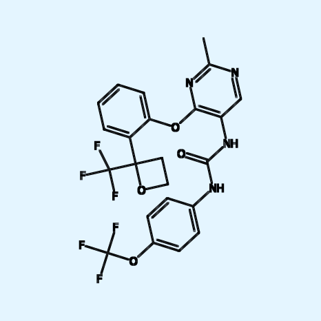 Cc1ncc(NC(=O)Nc2ccc(OC(F)(F)F)cc2)c(Oc2ccccc2C2(C(F)(F)F)CCO2)n1